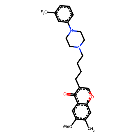 COc1cc2c(=O)c(CCCCN3CCN(c4cccc(C(F)(F)F)c4)CC3)coc2cc1C